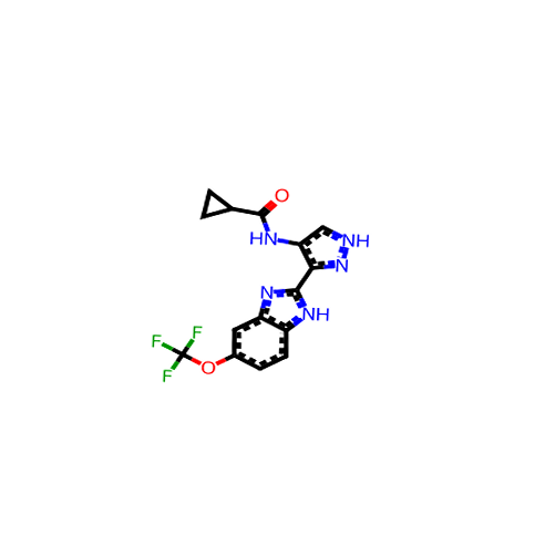 O=C(Nc1c[nH]nc1-c1nc2cc(OC(F)(F)F)ccc2[nH]1)C1CC1